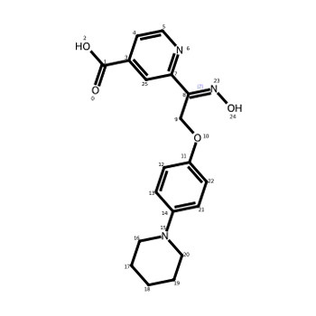 O=C(O)c1ccnc(/C(COc2ccc(N3CCCCC3)cc2)=N/O)c1